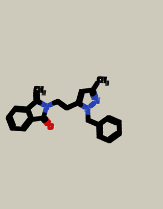 C=C1c2ccccc2C(=O)N1CCc1cc(C)nn1Cc1ccccc1